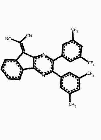 Cc1cc(-c2nc3c(nc2-c2cc(C(F)(F)F)cc(C(F)(F)F)c2)C(=C(C#N)C#N)c2ccccc2-3)cc(C(F)(F)F)c1